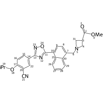 COC(=O)C1CN(Cc2ccc(-c3nc(-c4ccc(OC(C)C)c(C#N)c4)no3)c3ccccc23)C1